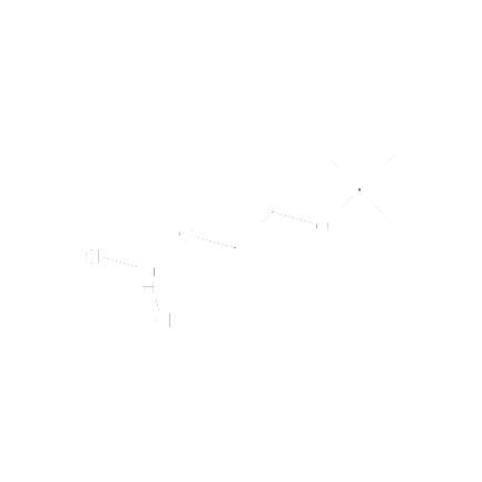 CC(C)(C)OCCO[SiH](Cl)Cl